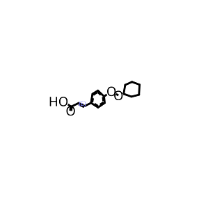 O=C(O)/C=C/c1ccc(OOC2CCCCC2)cc1